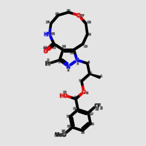 CCc1nn(C[C@@H](C)COC(O)c2cc(OC)ccc2C(F)(F)F)c2c1C(=O)NCCCOCCC2